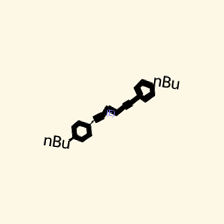 CCCCc1ccc(C#C/C=C/C#C[C@H]2CC[C@H](CCCC)CC2)cc1